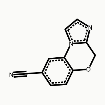 N#Cc1ccc2c(c1)-n1ccnc1CO2